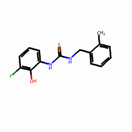 Cc1ccccc1CNC(=S)Nc1cccc(F)c1O